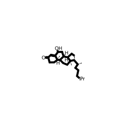 CC(C)CCC[C@@H](C)[C@H]1CC[C@H]2[C@@H]3CC(O)C4=CC(=O)CC[C@]4(C)[C@H]3CC[C@]12C